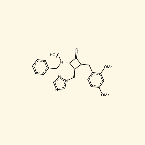 COc1ccc(CN2C(=O)[C@@H](N(Cc3ccccc3)C(=O)O)[C@@H]2Cn2cncn2)c(OC)c1